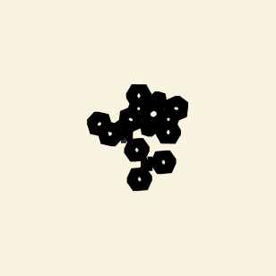 c1ccc(N(c2ccccc2)c2ccc(-n3c4cc5c(cc4c4c6ccccc6ccc43)-c3ccccc3C53c4ccccc4C4(c5ccccc5-c5ccccc54)c4ccccc43)cc2)cc1